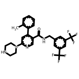 Cc1ccccc1-c1cc(N2CCNCC2)ncc1C(=O)NCc1cc(C(F)(F)F)cc(C(F)(F)F)c1